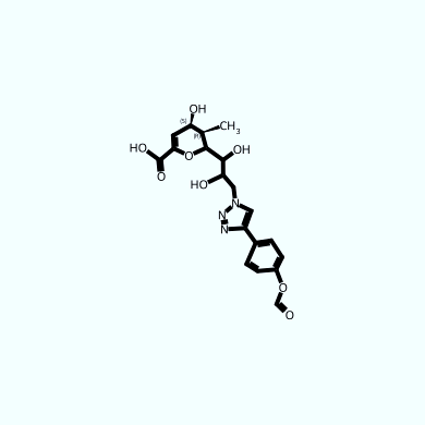 C[C@H]1C(C(O)C(O)Cn2cc(-c3ccc(OC=O)cc3)nn2)OC(C(=O)O)=C[C@H]1O